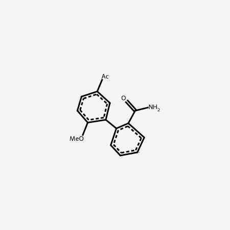 COc1ccc(C(C)=O)cc1-c1cc[c]cc1C(N)=O